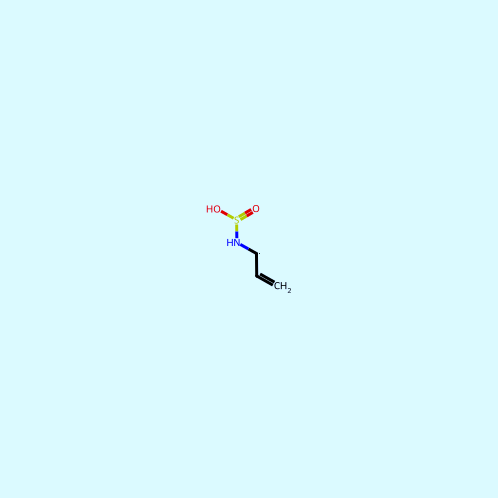 C=C[CH]NS(=O)O